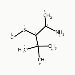 CC(N)C(SCl)C(C)(C)C